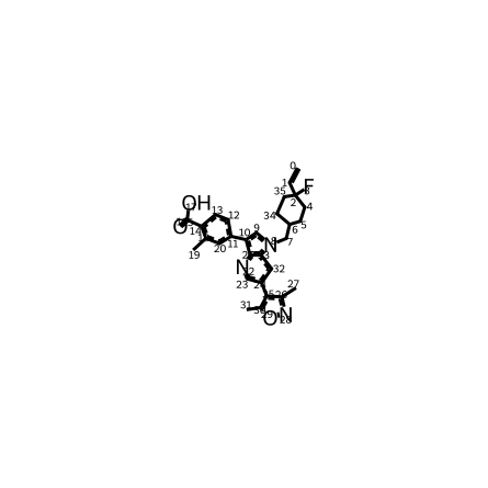 C=CC1(F)CCC(Cn2cc(-c3ccc(C(=O)O)c(C)c3)c3ncc(-c4c(C)noc4C)cc32)CC1